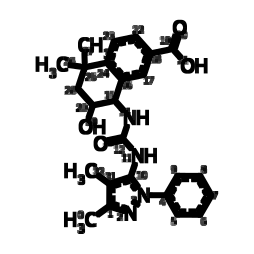 Cc1nn(-c2ccccc2)c(NC(=O)NC2c3cc(C(=O)O)ccc3C(C)(C)CC2O)c1C